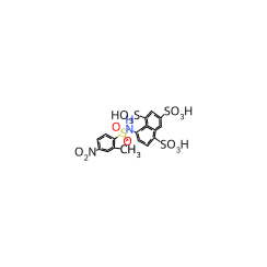 Cc1cc([N+](=O)[O-])ccc1S(=O)(=O)Nc1ccc(S(=O)(=O)O)c2cc(S(=O)(=O)O)cc(S(=O)(=O)O)c12